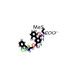 CSCC[C@H](NC(=O)c1ccc(COCc2cnc(-c3ccccc3Cl)s2)cc1-c1ccccc1C)C(=O)[O-].[Li+]